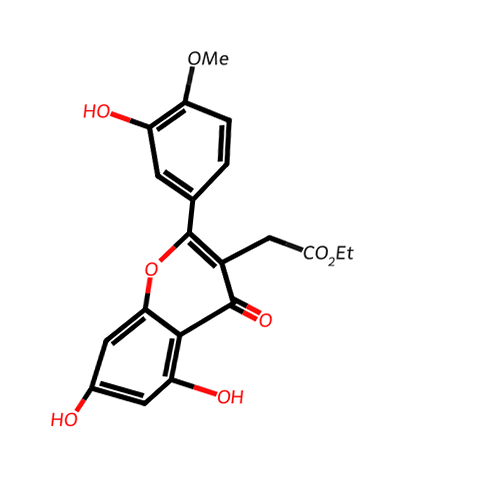 CCOC(=O)Cc1c(-c2ccc(OC)c(O)c2)oc2cc(O)cc(O)c2c1=O